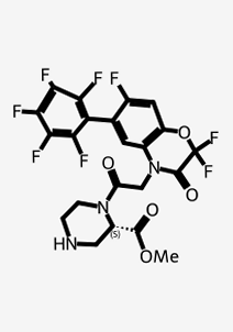 COC(=O)[C@@H]1CNCCN1C(=O)CN1C(=O)C(F)(F)Oc2cc(F)c(-c3c(F)c(F)c(F)c(F)c3F)cc21